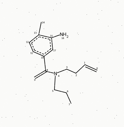 C=CCCN(CCC)C(=C)c1ccc(C)c(N)c1